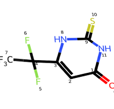 O=c1cc(C(F)(F)C(F)(F)F)[nH]c(=S)[nH]1